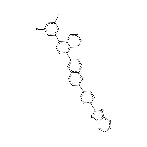 Fc1cc(F)cc(-c2ccc(-c3ccc4cc(-c5ccc(-c6nc7ccccc7o6)cc5)ccc4c3)c3ccccc23)c1